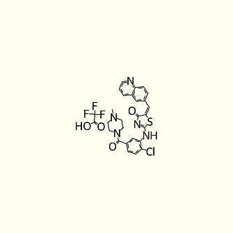 CN1CCN(C(=O)c2ccc(Cl)c(NC3=NC(=O)C(=Cc4ccc5ncccc5c4)S3)c2)CC1.O=C(O)C(F)(F)F